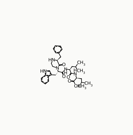 CC(C)C[C@H](NC(=O)[C@H](CC(C)C)NC(=O)[C@H](Cc1c[nH]c2ccccc12)N1CCN[C@@H](Cc2ccccc2)C1=O)C(=O)O